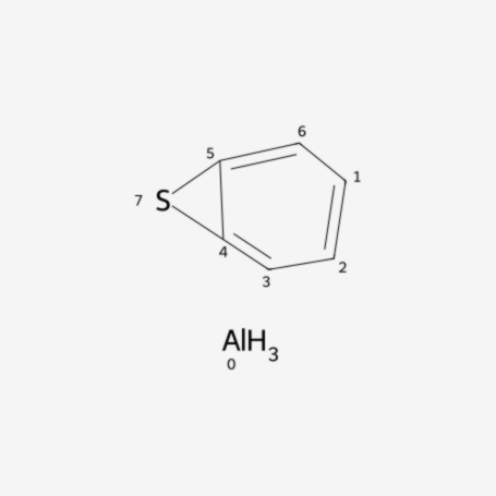 [AlH3].c1ccc2c(c1)S2